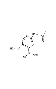 CC(=O)Nc1cc(B(O)O)c(CO)cn1